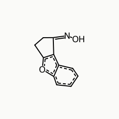 ON=C1CCc2oc3ccccc3c21